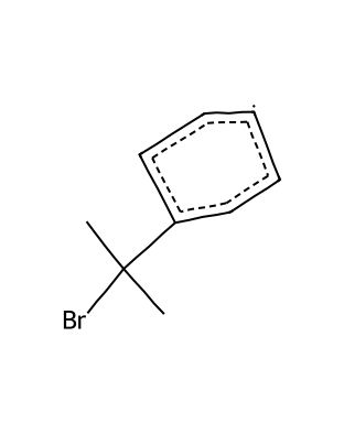 CC(C)(Br)c1cc[c]cc1